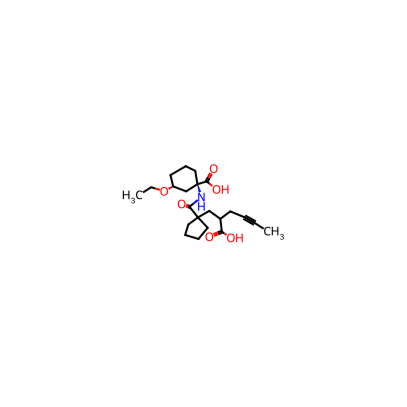 CC#CCC(CC1(C(=O)N[C@]2(C(=O)O)CCC[C@H](OCC)C2)CCCC1)C(=O)O